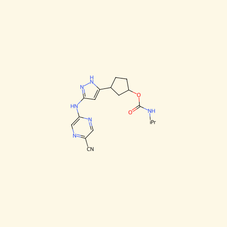 CC(C)NC(=O)OC1CCC(c2cc(Nc3cnc(C#N)cn3)n[nH]2)C1